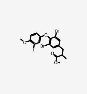 COc1ccc(Oc2c(Br)cc(CC(C)C(=O)O)cc2Br)cc1I